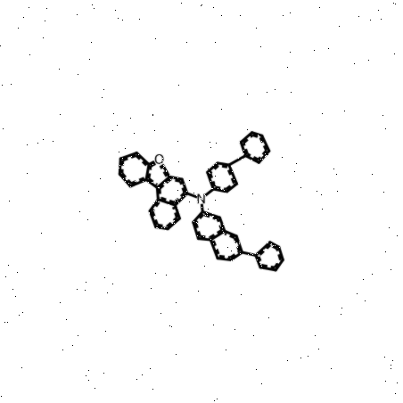 c1ccc(-c2ccc(N(c3ccc4ccc(-c5ccccc5)cc4c3)c3cc4oc5ccccc5c4c4ccccc34)cc2)cc1